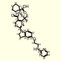 O=C(NC1(C(=O)O)CCCCC1)c1cnc(N2CCc3cc(OCCNc4ncccn4)ccc32)nc1C(F)(F)F